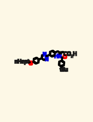 CCCCCCCOc1ccc(-c2cnc(-c3ccc(C[C@@H](CC(=O)O)NC(=O)c4ccc(C(C)(C)C)cc4)cc3)nc2)cc1